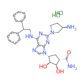 Cl.Cl.NC(=O)[C@H]1C[C@@H](n2cnc3c(NCC(c4ccccc4)c4ccccc4)nc(N4CC[C@@H](N)C4)nc32)[C@H](O)[C@@H]1O